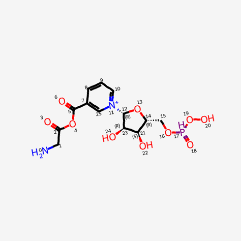 NCC(=O)OC(=O)c1ccc[n+]([C@@H]2O[C@H](CO[PH](=O)OO)[C@@H](O)[C@H]2O)c1